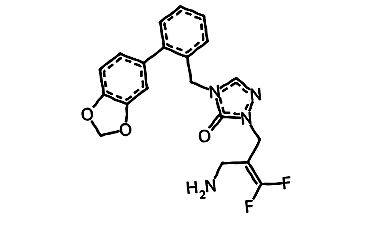 NCC(Cn1ncn(Cc2ccccc2-c2ccc3c(c2)OCO3)c1=O)=C(F)F